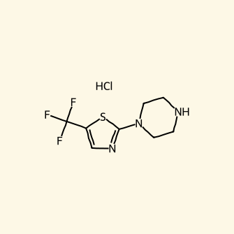 Cl.FC(F)(F)c1cnc(N2CCNCC2)s1